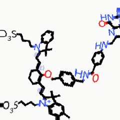 Cc1ccc2c(c1)C(C)(C)C(/C=C/C1=C(OCc3ccc(CNC(=O)c4ccc(NCc5cnc6nc(N)[nH]c(=O)c6n5)cc4)cc3)C(=C/C=C3/N(CCCCS(=O)(=O)O)c4ccccc4C3(C)C)/CCC1)=[N+]2CCCCS(=O)(=O)O